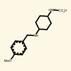 COc1ccc(CNC2CCC(NC(=O)O)CC2)cc1